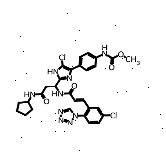 COC(=O)Nc1ccc(-c2nc([C@H](CC(=O)NC3CCCC3)NC(=O)C=Cc3cc(Cl)ccc3-n3cnnn3)[nH]c2Cl)cc1